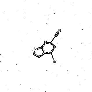 N#Cc1cc(Br)c2cc[nH]c2n1